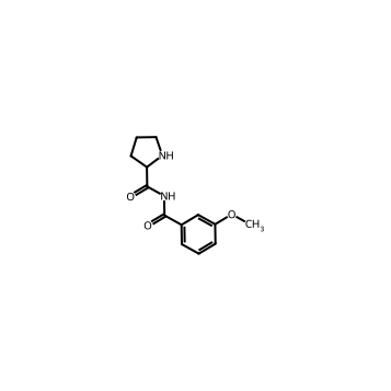 COc1cccc(C(=O)NC(=O)C2CCCN2)c1